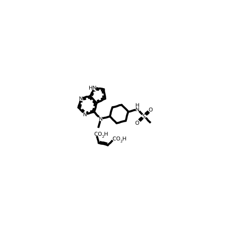 CN(c1ncnc2[nH]ccc12)C1CCC(NS(C)(=O)=O)CC1.O=C(O)/C=C\C(=O)O